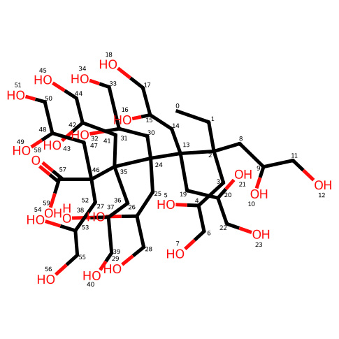 CCC(CC(O)CO)(CC(O)CO)C(CC(O)CO)(CC(O)CO)C(CC(O)CO)(CC(O)CO)C(CC(O)CO)(CC(O)CO)C(CC(O)CO)(CC(O)CO)C(=O)O